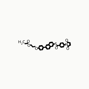 C=CC(=O)OCCCOc1ccc(-c2ccc3cc(SC(=O)c4ccc(N5C(=O)C=CC5=O)cc4)ccc3c2)cc1